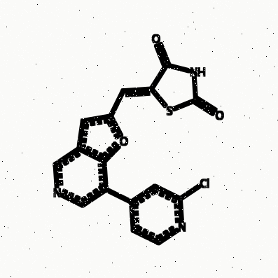 O=C1NC(=O)C(=Cc2cc3cncc(-c4ccnc(Cl)c4)c3o2)S1